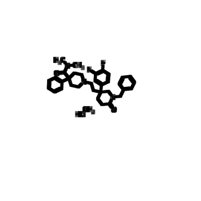 CN(C)C(=O)C1(c2ccccc2)CCN(CCC2(c3ccc(F)c(F)c3)CCC(=O)N(Cc3ccccc3)C2)CC1.Cl.O